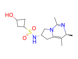 CC1=N[C@@H](C)C(C)=C2C[C@H](NS(=O)(=O)C3CC(O)C3)CN12